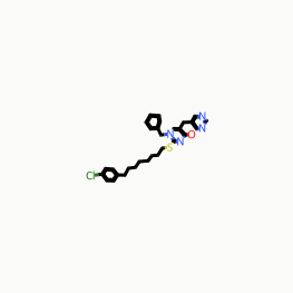 O=c1nc(SCCCCCCCCc2ccc(Cl)cc2)n(Cc2ccccc2)cc1Cc1cncnc1